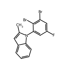 Cc1cc2ccccc2n1-c1cc(F)cc(Br)c1Br